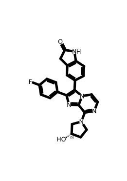 O=C1Cc2cc(-c3c(-c4ccc(F)cc4)nc4c(N5CC[C@H](O)C5)nccn34)ccc2N1